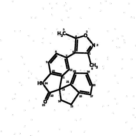 Cc1noc(C)c1-c1ccc2c(c1)C1(CCc3ccccc31)C(=O)N2